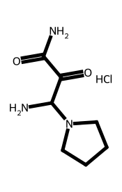 Cl.NC(=O)C(=O)C(N)N1CCCC1